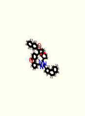 C1=CCC(c2nc(-c3ccc4ccc5ccccc5c4c3)nc(-c3cccc4oc5ccc(-c6cccc7oc8cc9ccccc9cc8c67)cc5c34)n2)C=C1